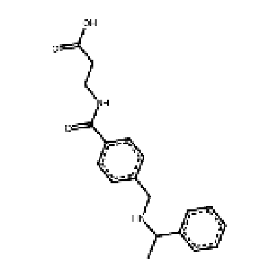 CC(NCc1ccc(C(=O)NCCC(=O)O)cc1)c1ccccc1